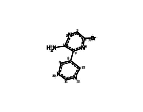 Nc1ncc(Br)nc1-c1cncnc1